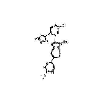 Cc1noc(-c2ccc(Cl)cc2-c2nc3cc(-c4cnc(N)nc4)ccc3n2C(C)(C)C)n1